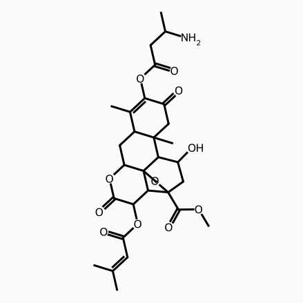 COC(=O)C12CC(O)C3C4(C)CC(=O)C(OC(=O)CC(C)N)=C(C)C4CC4OC(=O)C(OC(=O)C=C(C)C)C1C43CO2